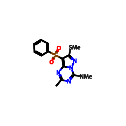 CNc1nc(C)nc2c(S(=O)(=O)c3ccccc3)c(SC)nn12